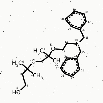 CC(C)(CCO)OCC(C)(C)OCCN(Cc1ccccc1)Cc1ccccc1